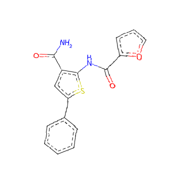 NC(=O)c1cc(-c2ccccc2)sc1NC(=O)c1ccco1